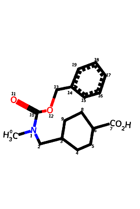 CN(CC1CCC(C(=O)O)CC1)C(=O)OCc1ccccc1